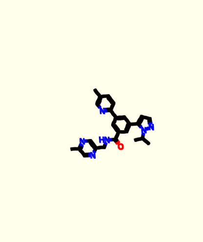 Cc1ccc(-c2cc(C(=O)NCc3cnc(C)cn3)cc(-c3ccnn3C(C)C)c2)nc1